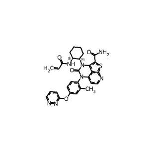 C=CC(=O)N[C@H]1CCCC[C@H]1N1C(=O)N(c2ccc(Oc3cccnn3)cc2C)c2ccnc3sc(C(N)=O)c1c23